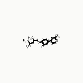 CC(N)CC(C)COc1ccc(-c2ccnc(C(F)(F)F)n2)cc1F